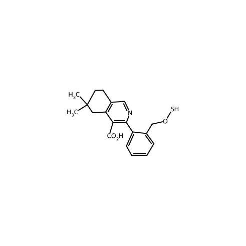 CC1(C)CCc2cnc(-c3ccccc3COS)c(C(=O)O)c2C1